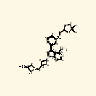 CC1(C)CCC(COc2cccc(-c3cn(C4CC(CN5CC(O)C5)C4)c4ncnc(N)c34)c2)O1